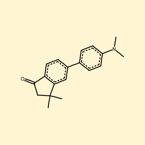 CN(C)c1ccc(-c2ccc3c(c2)C(C)(C)CC3=O)cc1